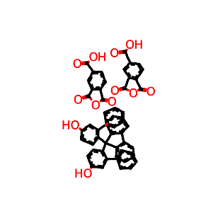 O=C(O)c1ccc2c(c1)C(=O)OC2=O.O=C(O)c1ccc2c(c1)C(=O)OC2=O.Oc1ccc(C2(c3ccc(O)cc3-c3ccccc3)c3ccccc3-c3ccccc32)c(-c2ccccc2)c1